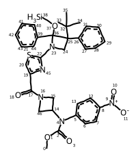 COC(=O)N(c1ccc([N+](=O)[O-])cc1)C1CN(C(=O)c2csc(N3CC(c4ccccc4)(C(C)(C)C)C3(O[SiH3])c3ccccc3)n2)C1